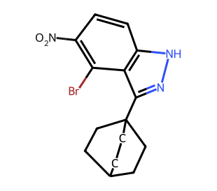 O=[N+]([O-])c1ccc2[nH]nc(C34CCC(CC3)CC4)c2c1Br